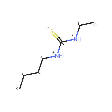 CCCCNC(=S)NCC